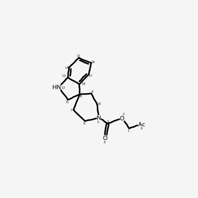 CC(=O)COC(=O)N1CCC2(CC1)CNc1ccccc12